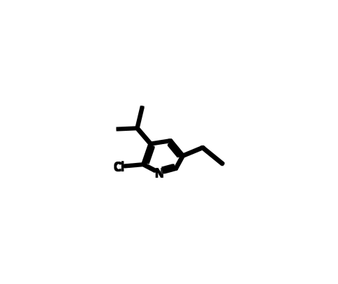 CCc1cnc(Cl)c(C(C)C)c1